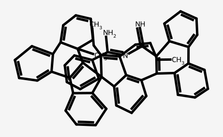 CC/C=C\C1=C(CC)C2(C3=C(c4ccccc4C4=CC=CCC43C)c3ccccc32)c2cccc(-c3c(C(=N)/N=C(\N)c4ccccc4)c4ccccc4c4ccccc34)c21